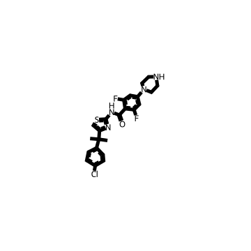 CC(C)(c1ccc(Cl)cc1)c1csc(NC(=O)c2c(F)cc(N3CCNCC3)cc2F)n1